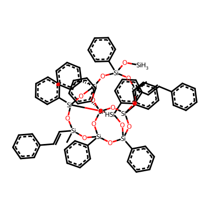 C[Si]1(/C=C/c2ccccc2)O[Si](O[SiH3])(c2ccccc2)O[Si@]2(c3ccccc3)O[Si]3(c4ccccc4)O[SiH](c4ccccc4)O[Si]4(c5ccccc5)O[Si](c5ccccc5)(O1)O[Si@@](c1ccccc1)(O[Si](c1ccccc1)(O[Si](C)(/C=C/c1ccccc1)O3)O4)O2